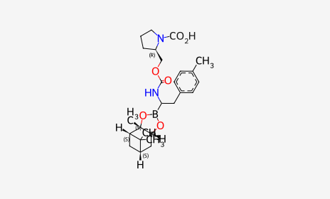 Cc1ccc(CC(NC(=O)OC[C@H]2CCCN2C(=O)O)B2O[C@@H]3C[C@@H]4C[C@@H](C4(C)C)[C@]3(C)O2)cc1